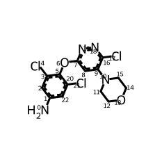 Nc1cc(Cl)c(Oc2cc(N3CCOCC3)c(Cl)nn2)c(Cl)c1